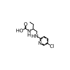 CCC(CNc1ccc(Cl)cn1)NC(=O)O